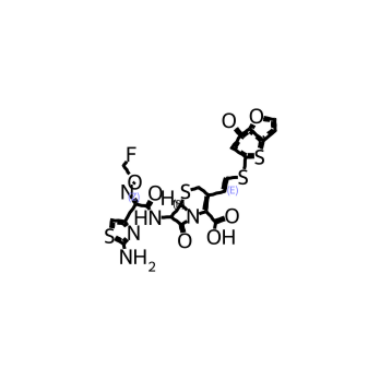 Nc1nc(/C(=N/OCF)C(=O)NC2C(=O)N3C(C(=O)O)=C(/C=C/Sc4cc(=O)c5occc5s4)CS[C@H]23)cs1